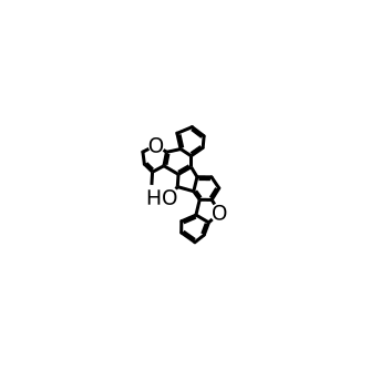 CC1=CCOc2c1c1c(c3ccccc23)-c2ccc3oc4ccccc4c3c2C1O